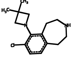 CC1(C)CN(c2c(Cl)ccc3c2CCNCC3)C1